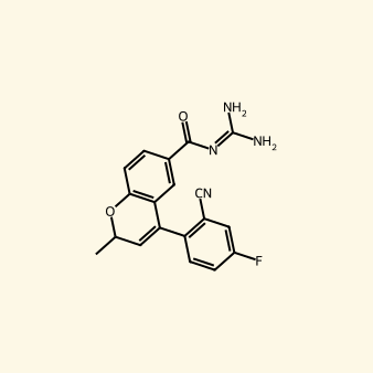 CC1C=C(c2ccc(F)cc2C#N)c2cc(C(=O)N=C(N)N)ccc2O1